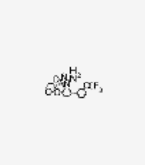 CN1C(=O)[C@@]2(C[C@@]3(CCCOC3)Oc3ccc(-c4cccc(OC(F)(F)F)c4)cc32)N=C1N